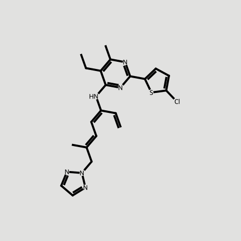 C=C/C(=C\C=C(/C)Cn1nccn1)Nc1nc(-c2ccc(Cl)s2)nc(C)c1CC